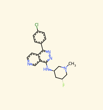 CN1C[C@H](F)C[C@@H](Nc2nnc(-c3ccc(Cl)cc3)c3ccncc23)C1